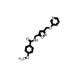 COc1ccc(C(=O)NCc2cc(COc3cccnc3)no2)cc1